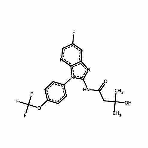 CC(C)(O)CC(=O)Nc1nc2cc(F)cnc2n1-c1ccc(OC(F)(F)F)cc1